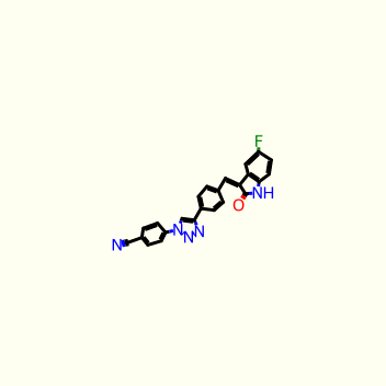 N#Cc1ccc(-n2cc(-c3ccc(/C=C4\C(=O)Nc5ccc(F)cc54)cc3)nn2)cc1